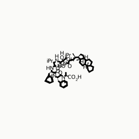 CC(C)C(O)[C@@](O)(C(=O)N[C@H](C(=O)N[C@@H](Cc1ccccc1)C(=O)N[C@@H](Cc1ccccc1)C(=O)N[C@@H](C)C(=O)O)C(C)C)N(O)C(=O)CC[C@@H](C)[C@H]1CC[C@H]2[C@@H]3CCC4CCCC[C@]4(C)[C@H]3CC[C@]12C